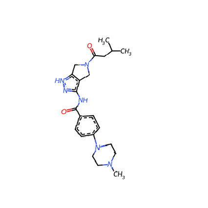 CC(C)CC(=O)N1Cc2[nH]nc(NC(=O)c3ccc(N4CCN(C)CC4)cc3)c2C1